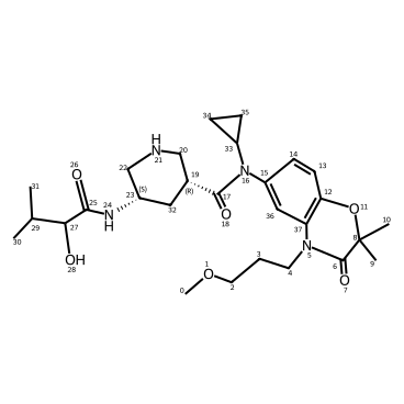 COCCCN1C(=O)C(C)(C)Oc2ccc(N(C(=O)[C@H]3CNC[C@@H](NC(=O)C(O)C(C)C)C3)C3CC3)cc21